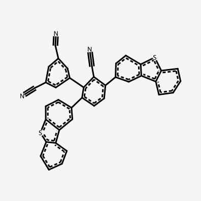 N#Cc1cc(C#N)cc(-c2c(-c3ccc4sc5ccccc5c4c3)ccc(-c3ccc4sc5ccccc5c4c3)c2C#N)c1